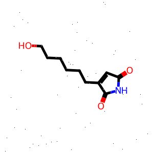 O=C1C=C(CCCCCCO)C(=O)N1